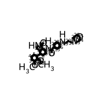 COc1cccc(-c2ccc(NC(=O)c3ccc(NCCCN4CCOCC4)cc3)c3c2CNC3=O)c1OC